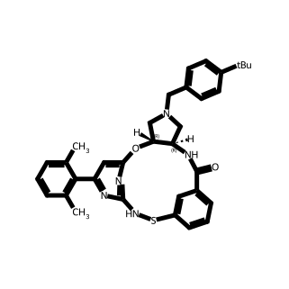 Cc1cccc(C)c1-c1cc2nc(n1)NSc1cccc(c1)C(=O)N[C@@H]1CN(Cc3ccc(C(C)(C)C)cc3)C[C@H]1O2